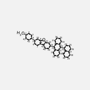 Cc1ccc(-c2ccc3c(c2)oc2cc(-c4c5ccccc5c(-c5cccc6ccccc56)c5ccccc45)ccc23)cc1